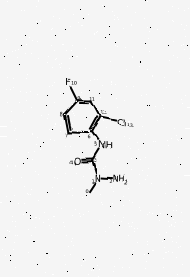 CN(N)C(=O)Nc1ccc(F)cc1Cl